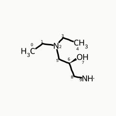 CCN(CC)C[C@@H](O)C[NH]